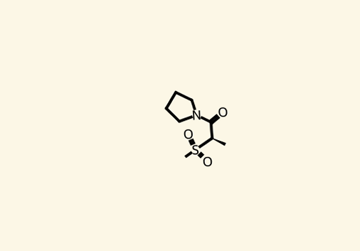 C[C@H](C(=O)N1CCCC1)S(C)(=O)=O